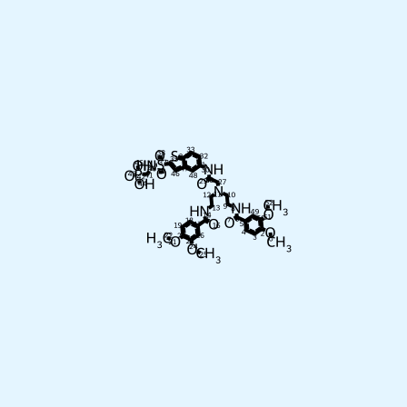 COc1ccc(C(=O)NCCN(CCNC(=O)c2ccc(OC)c(OC)c2)CC(=O)Nc2ccc3sc(S(=O)(=O)NCP(=O)(O)O)cc3c2)cc1OC